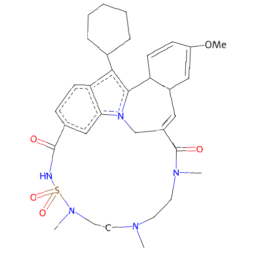 COC1=CC2C=C3Cn4c(c(C5CCCCC5)c5ccc(cc54)C(=O)NS(=O)(=O)N(C)CCN(C)CCN(C)C3=O)C2C=C1